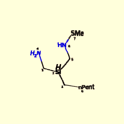 CCCCCC[SiH](CN)CNSC